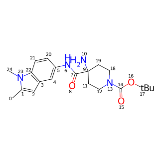 Cc1cc2cc(NC(=O)C3(N)CCN(C(=O)OC(C)(C)C)CC3)ccc2n1C